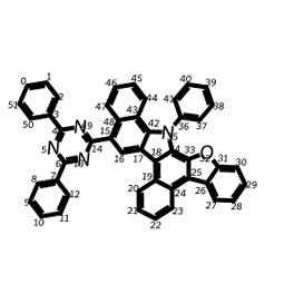 c1ccc(-c2nc(-c3ccccc3)nc(-c3cc4c5c6ccccc6c6c7ccccc7oc6c5n(-c5ccccc5)c4c4ccccc34)n2)cc1